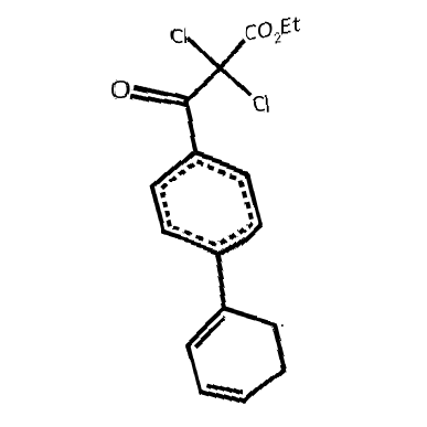 CCOC(=O)C(Cl)(Cl)C(=O)c1ccc(C2=CC=CC[CH]2)cc1